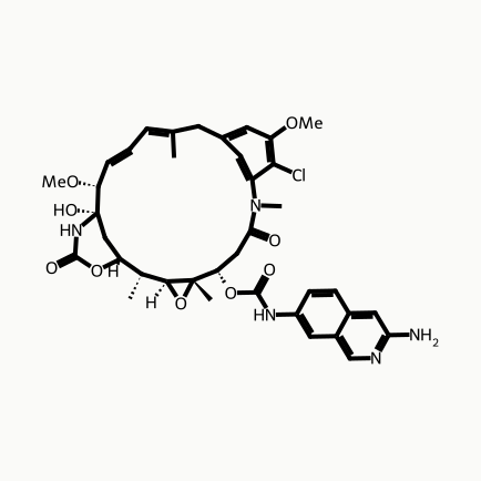 COc1cc2cc(c1Cl)N(C)C(=O)C[C@H](OC(=O)Nc1ccc3cc(N)ncc3c1)[C@]1(C)O[C@H]1[C@H](C)[C@@H]1C[C@@](O)(NC(=O)O1)[C@H](OC)/C=C/C=C(\C)C2